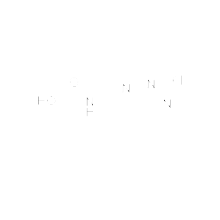 CCCc1cc(N2CCCC(NC(=O)CO)C2)nc(Cl)n1